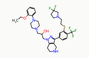 CCOc1ccccc1N1CCN(CC(O)Cn2nc(-c3ccc(C(F)(F)F)c(SCCN4CCC(F)(F)C4)c3)c3c2CCNC3)CC1